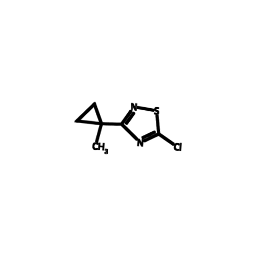 CC1(c2nsc(Cl)n2)CC1